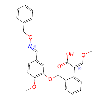 CO/C=C(\C(=O)O)c1ccccc1COc1cc(/C=N/OCc2ccccc2)ccc1OC